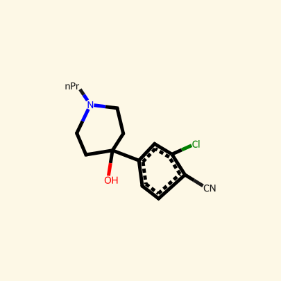 CCCN1CCC(O)(c2ccc(C#N)c(Cl)c2)CC1